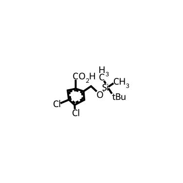 CC(C)(C)[Si](C)(C)OCc1cc(Cl)c(Cl)cc1C(=O)O